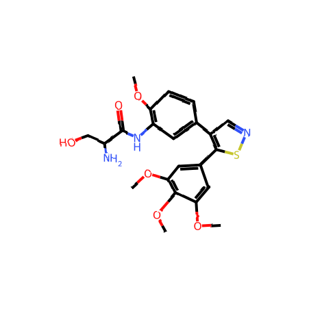 COc1ccc(-c2cnsc2-c2cc(OC)c(OC)c(OC)c2)cc1NC(=O)C(N)CO